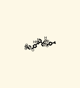 CS(=O)(=O)N1CCN(C(=O)c2ccc(-c3cc4c(-c5ccnc(NC(=O)c6ccc(C7CC7)cc6F)c5CO)ccnc4[nH]3)cc2)CC1